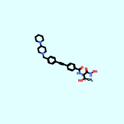 C[C@@H](O)[C@H](NC(=O)c1ccc(C#Cc2ccc(CN3CCC(N4CCCCC4)CC3)cc2)cc1)C(=O)NO